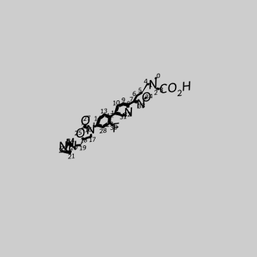 CN(CC(=O)O)C[C@@H]1CC(c2ccc(-c3ccc(N4C[C@H](Cn5ccnn5)OC4=O)cc3F)cn2)=NO1